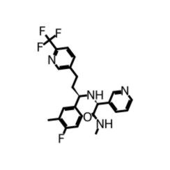 CNC(=O)[C@H](N[C@H](CCc1ccc(C(F)(F)F)nc1)c1ccc(F)c(C)c1)c1cccnc1